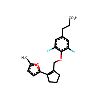 Cc1ccc(C2=C(COc3c(F)cc(CCC(=O)O)cc3F)CCC2)o1